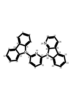 c1cc(-n2c3ccccc3c3ccccc32)nc(-n2c3ccccc3c3cccnc32)c1